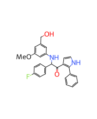 COc1cc(CO)cc(NC(C(=O)c2cc[nH]c2-c2ccccc2)c2ccc(F)cc2)c1